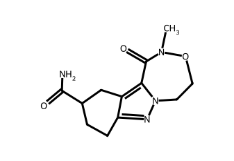 CN1OCCn2nc3c(c2C1=O)CC(C(N)=O)CC3